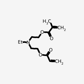 C=CC(=O)OCCN(CC)CCOC(=O)C(=C)C